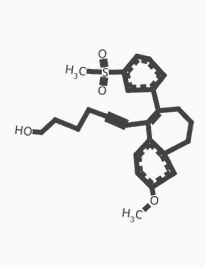 COc1ccc2c(c1)CCCC(c1cccc(S(C)(=O)=O)c1)=C2C#CCCCCO